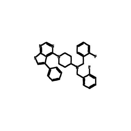 Fc1ccccc1CN(Cc1ccccc1F)C1CCN(c2ncnc3scc(-c4ccccc4)c23)CC1